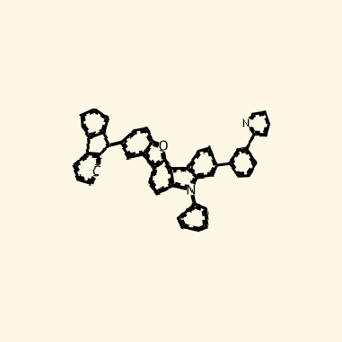 c1ccc(-n2c3cc(-c4cccc(-c5ccccn5)c4)ccc3c3c4oc5ccc(C6c7ccccc7-c7ccccc76)cc5c4ccc32)cc1